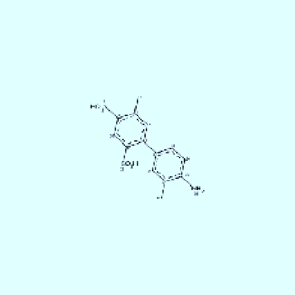 Cc1cc(-c2cc(C)c(S(=O)(=O)O)cc2S(=O)(=O)O)ccc1N